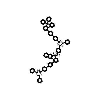 CC1(Cc2ccc(-c3nc(-c4ccccc4)nc(-c4ccc(-c5ccc(-c6cccc7c6-c6ccccc6C7(c6ccccc6)c6ccccc6)cc5)cc4)n3)cc2)c2cc3ccccc3cc2-c2c(-c3ccc(-c4ccc(-c5nc(-c6ccccc6)nc(-c6ccccc6)n5)cc4)cc3)cccc21